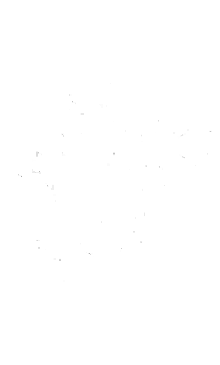 CCO[C@@H](Cc1ccc(OCCN2c3ccccc3Oc3ccccc32)cc1)C(=O)O.N=C(N)NCCC[C@H](N)C(=O)O